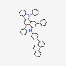 c1ccc(-c2cccc(N(c3ccc(-c4cccc5c4ccc4ccccc45)cc3)c3ccccc3-c3ccc4c(c3)c3ccccc3n4-c3ccccc3)c2)cc1